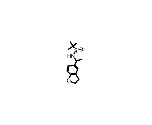 CC(N[S@+]([O-])C(C)(C)C)c1ccc2c(c1)CCO2